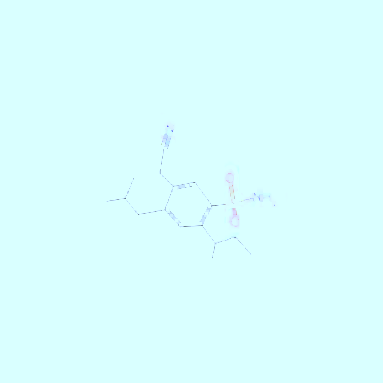 CCC(C)c1cc(CC(C)C)c(CC#N)cc1S(N)(=O)=O